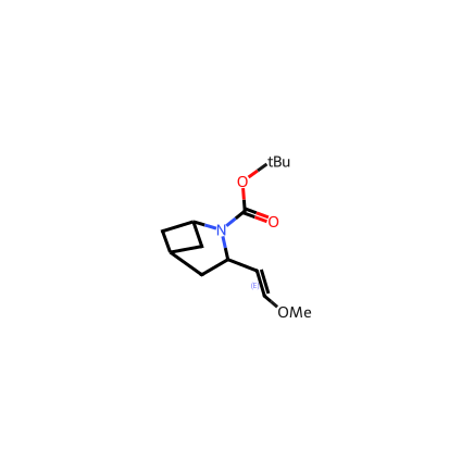 CO/C=C/C1CC2CC(C2)N1C(=O)OC(C)(C)C